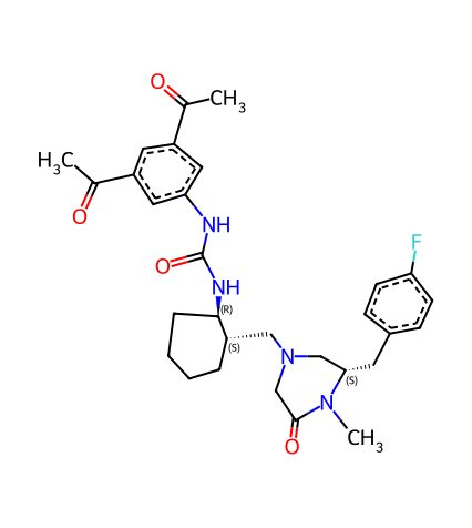 CC(=O)c1cc(NC(=O)N[C@@H]2CCCC[C@H]2CN2CC(=O)N(C)[C@@H](Cc3ccc(F)cc3)C2)cc(C(C)=O)c1